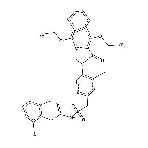 Cc1cc(CS(=O)(=O)NC(=O)Cc2c(F)cccc2F)ccc1N1Cc2c(c(OCC(F)(F)F)c3cccnc3c2OCC(F)(F)F)C1=O